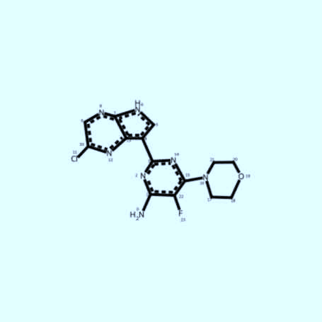 Nc1nc(-c2c[nH]c3ncc(Cl)nc23)nc(N2CCOCC2)c1F